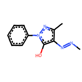 C/N=N/c1c(C)nn(-c2ccccc2)c1O